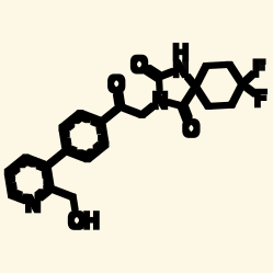 O=C(CN1C(=O)NC2(CCC(F)(F)CC2)C1=O)c1ccc(-c2cccnc2CO)cc1